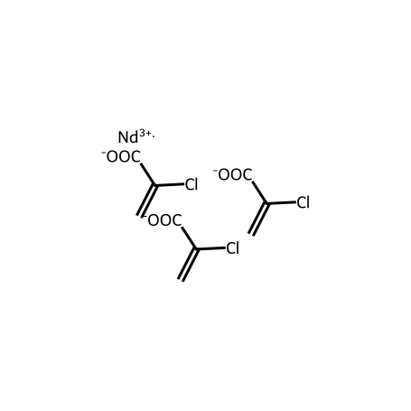 C=C(Cl)C(=O)[O-].C=C(Cl)C(=O)[O-].C=C(Cl)C(=O)[O-].[Nd+3]